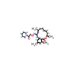 C/C1=C\C(=N\OCC(=O)N2CCCCC2)Cc2cc(C)cc(C)c2C(=O)O[C@H](C)C/C=C/CC1